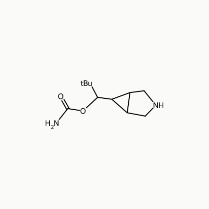 CC(C)(C)C(OC(N)=O)C1C2CNCC21